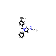 COc1ccc(CN2C[C@@H](NC(=O)O)C[C@H]2c2ccccc2)cc1